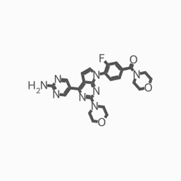 Nc1ncc(-c2nc(N3CCOCC3)nc3c2ccn3-c2ccc(C(=O)N3CCOCC3)cc2F)cn1